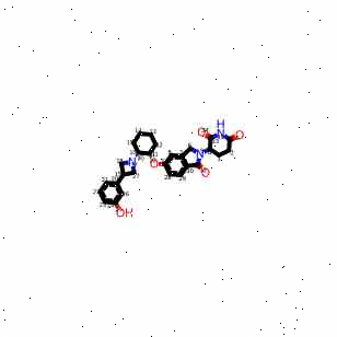 O=C1CCC(N2Cc3cc(O[C@H]4CCCC[C@H]4N4CC(c5cccc(O)c5)C4)ccc3C2=O)C(=O)N1